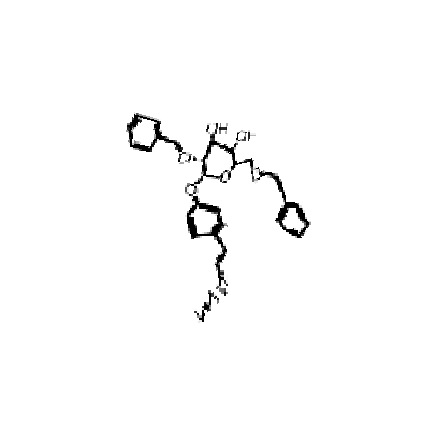 [N-]=[N+]=NCCc1ccc(O[C@@H]2O[C@H](COCc3ccccc3)[C@H](O)[C@H](O)[C@H]2OCc2ccccc2)cc1